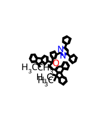 CCC1(CC)c2ccccc2-c2c1c1c(c3ccccc23)OC(c2cccc(-c3nc(-c4ccccc4)cc(-c4ccccc4)n3)c2)(c2ccc3c(c2)C(C)(C)c2ccccc2-3)C=C1